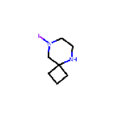 IN1CCNC2(CCC2)C1